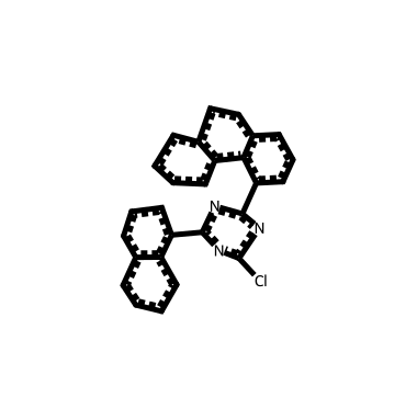 Clc1nc(-c2cccc3ccccc23)nc(-c2cccc3ccc4ccccc4c23)n1